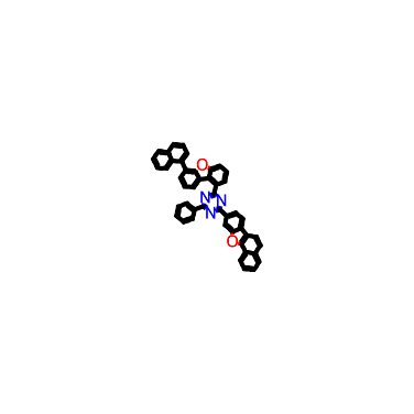 c1ccc(-c2nc(-c3ccc4c(c3)oc3c5ccccc5ccc43)nc(-c3cccc4oc5c(-c6cccc7ccccc67)cccc5c34)n2)cc1